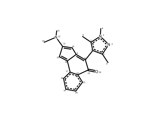 Cc1nn(C)c(C)c1C1=C2C=C(N(C)C)C=C2c2ccccc2C1=O